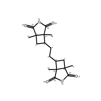 CC12CC(CCC3CC4(C)C(=O)OC(=O)C34C)C1(C)C(=O)OC2=O